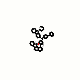 CC1(C)c2ccccc2-c2ccc3cccc(-c4ccc(N(c5ccc(-c6ccccc6)cc5)c5ccc6c7ccccc7n(-c7ccccc7)c6c5)cc4)c3c21